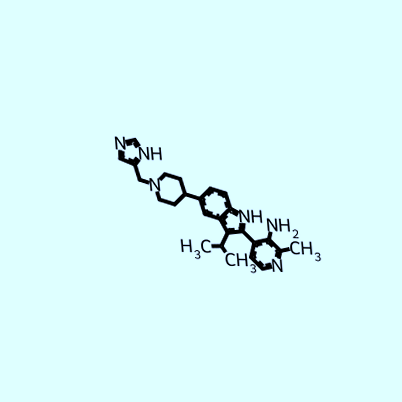 Cc1nccc(-c2[nH]c3ccc(C4CCN(Cc5cnc[nH]5)CC4)cc3c2C(C)C)c1N